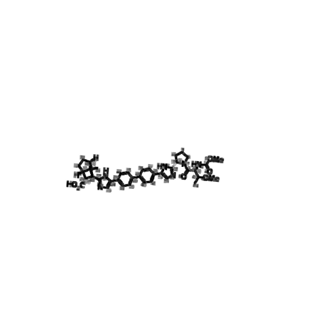 COC(=O)N[C@H](C(=O)N1CCC[C@H]1c1ncc(-c2ccc(-c3ccc(-c4cnc([C@]56[C@H](C(=O)O)[C@@H]7CC[C@H]5[C@@]76C)[nH]4)cc3)cc2)[nH]1)C(C)OC